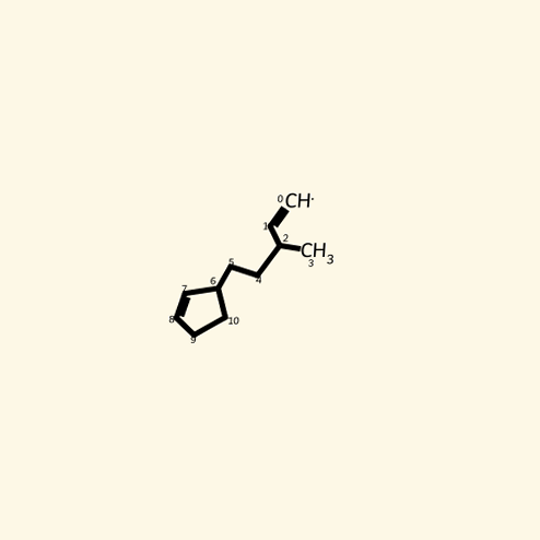 [CH]=CC(C)CCC1C=CCC1